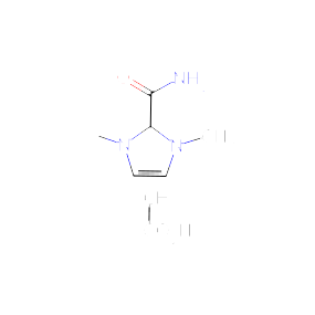 CC(=O)O.CCN1C=CN(C)C1C(N)=O